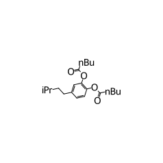 CCCCC(=O)Oc1ccc(CCC(C)C)cc1OC(=O)CCCC